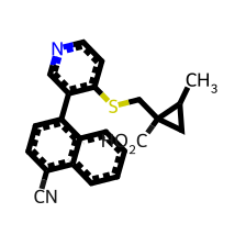 CC1CC1(CSc1ccncc1-c1ccc(C#N)c2ccccc12)C(=O)O